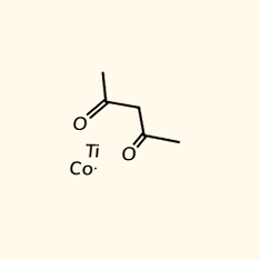 CC(=O)CC(C)=O.[Co].[Ti]